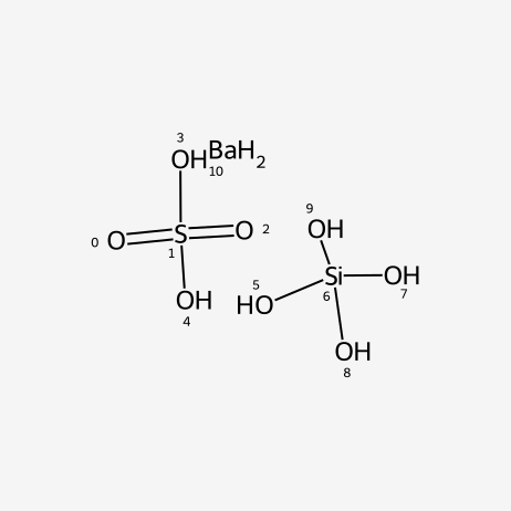 O=S(=O)(O)O.O[Si](O)(O)O.[BaH2]